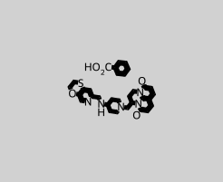 O=C(O)c1ccccc1.O=c1ccc2ccc(=O)n3c2n1CCC3CN1CCC(NCc2cc3c(cn2)OCCS3)CC1